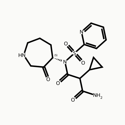 NC(=O)C(C(=O)N([C@H]1CCCNCC1=O)S(=O)(=O)c1ccccn1)C1CC1